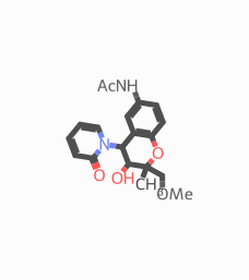 COCC1(C)Oc2ccc(NC(C)=O)cc2C(n2ccccc2=O)C1O